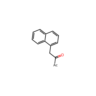 CC(=O)C(=O)Cc1cccc2ccccc12